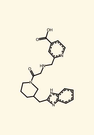 O=C(O)c1ccnc(CNCC(=O)N2CCCC(Cc3nc4ccccc4[nH]3)C2)c1